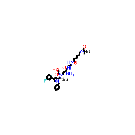 CCC1(C)C(=O)N1CCCCCC(=O)NCCNC(=O)[C@@H](N)CCN(C(=O)CO)[C@@H](c1cc(-c2cc(F)ccc2F)cn1Cc1ccccc1)C(C)(C)C